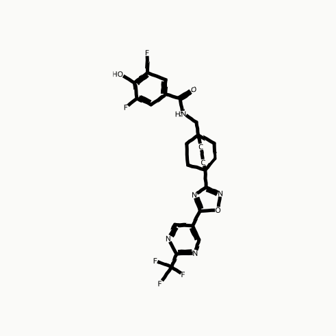 O=C(NCC12CCC(c3noc(-c4cnc(C(F)(F)F)nc4)n3)(CC1)CC2)c1cc(F)c(O)c(F)c1